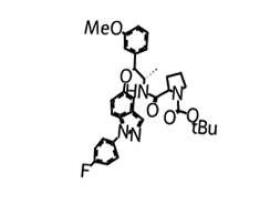 COc1cccc([C@H](Oc2ccc3c(cnn3-c3ccc(F)cc3)c2)[C@H](C)NC(=O)C2CCCN2C(=O)OC(C)(C)C)c1